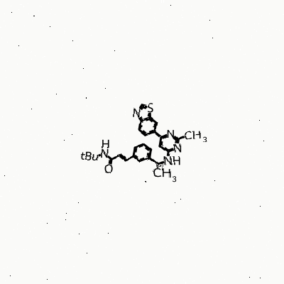 Cc1nc(N[C@@H](C)c2cccc(C=CC(=O)NC(C)(C)C)c2)cc(-c2ccc3ncsc3c2)n1